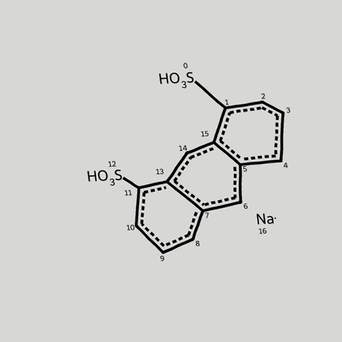 O=S(=O)(O)c1cccc2cc3cccc(S(=O)(=O)O)c3cc12.[Na]